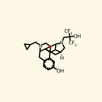 Oc1ccc2c(c1)C13CCN(CC4CC4)C(C2)C12CCC1C3[C@@H](CN1CC(O)(C(F)(F)F)C(F)(F)F)C2